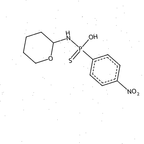 O=[N+]([O-])c1ccc(P(O)(=S)NC2CCCCO2)cc1